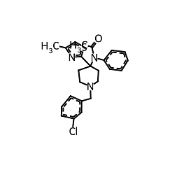 CC(=O)N(c1ccccc1)C1(c2nc(C)cs2)CCN(Cc2cccc(Cl)c2)CC1